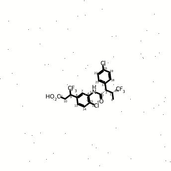 C[C@H]([C@H](C(=O)Nc1cc(C(CC(=O)O)C(F)(F)F)ccc1Cl)c1ccc(Cl)cc1)C(F)(F)F